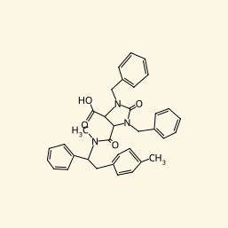 Cc1ccc(CC(c2ccccc2)N(C)C(=O)C2C(C(=O)O)N(Cc3ccccc3)C(=O)N2Cc2ccccc2)cc1